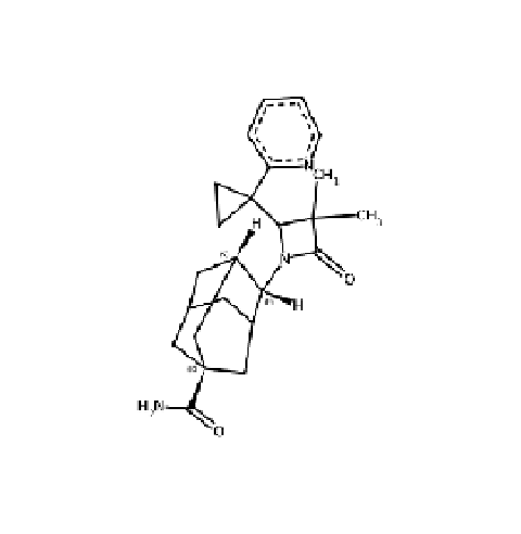 CC1(C)C(=O)N([C@@H]2C3CC4C[C@H]2C[C@@](C(N)=O)(C4)C3)C1C1(c2ccccn2)CC1